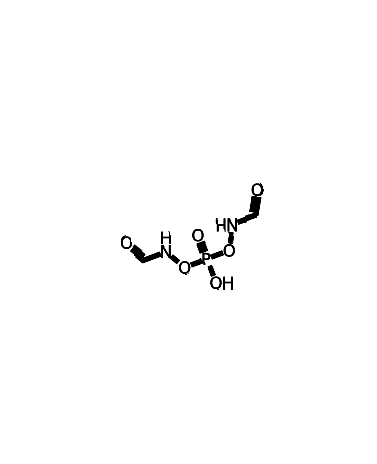 O=CNOP(=O)(O)ONC=O